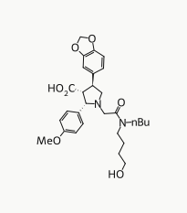 CCCCN(CCCCO)C(=O)CN1C[C@H](c2ccc3c(c2)OCO3)[C@@H](C(=O)O)[C@H]1c1ccc(OC)cc1